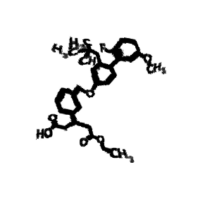 CCOC(=O)CC(CC(=O)O)c1cccc(COc2ccc(-c3cc(OC)ccc3F)c(CC(C)(C)C)c2)c1